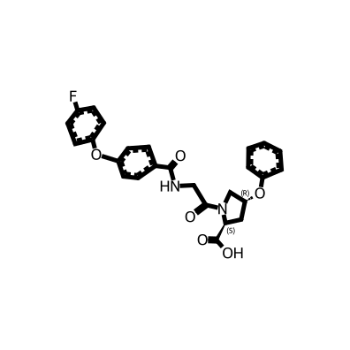 O=C(NCC(=O)N1C[C@H](Oc2ccccc2)C[C@H]1C(=O)O)c1ccc(Oc2ccc(F)cc2)cc1